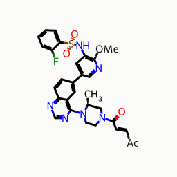 COc1ncc(-c2ccc3ncnc(N4CCN(C(=O)/C=C/C(C)=O)C[C@@H]4C)c3c2)cc1NS(=O)(=O)c1ccccc1F